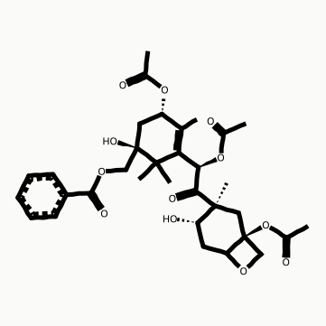 CC(=O)O[C@@H](C(=O)[C@@]1(C)C[C@]2(OC(C)=O)COC2C[C@@H]1O)C1=C(C)[C@@H](OC(C)=O)C[C@@](O)(COC(=O)c2ccccc2)C1(C)C